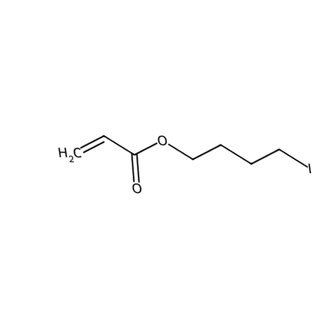 C=CC(=O)OCCCCI